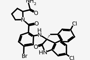 NC(=O)C1CCCN1C(=O)c1ccc(Br)cc1N[C@]1(Cc2cccc(Cl)c2)C(=O)Nc2cc(Cl)ccc21